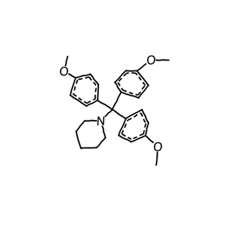 COc1ccc(C(c2ccc(OC)cc2)(c2ccc(OC)cc2)N2CCCCC2)cc1